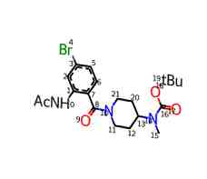 CC(=O)Nc1cc(Br)ccc1C(=O)N1CCC(N(C)C(=O)OC(C)(C)C)CC1